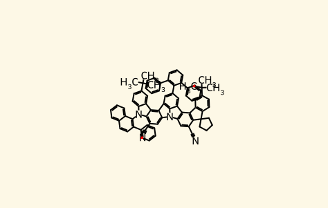 CC(C)(C)c1ccc2c(c1)-c1c(c(C#N)cc3c1c1cc(-c4c(-c5ccccc5)cccc4-c4ccccc4)cc4c5c6c7cc(C(C)(C)C)ccc7n(-c7c(-c8ccccc8)ccc8ccccc78)c6c(C#N)cc5n3c14)C21CCCC1